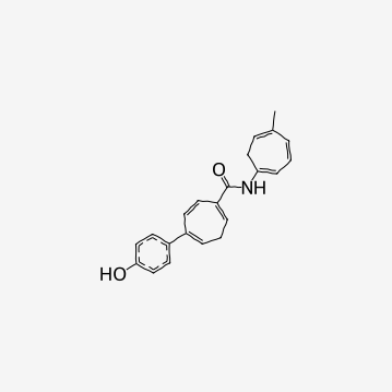 CC1=CCC(NC(=O)C2=CCC=C(c3ccc(O)cc3)C=C2)=CC=C1